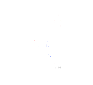 COc1cccc(-c2nc(Oc3ccccc3)c3cc(CCOS(C)(=O)=O)cn3n2)n1